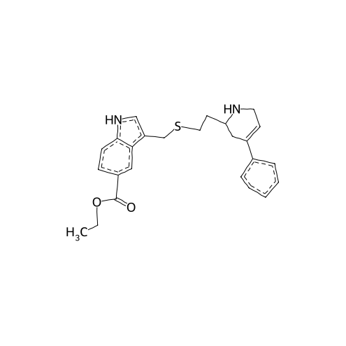 CCOC(=O)c1ccc2[nH]cc(CSCCC3CC(c4ccccc4)=CCN3)c2c1